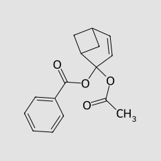 CC(=O)OC1(OC(=O)c2ccccc2)C=CC2CC1C2